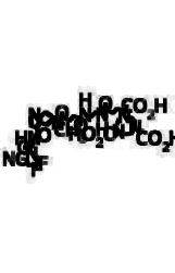 CN(C(=O)CCC(=O)NCCNC(=O)CCC(C(=O)O)N1CCN(CC(=O)O)CCN(CC(=O)O)CC1)c1ccc2nccc(C(=O)NCC(=O)N3CC(F)(F)C[C@H]3C#N)c2c1